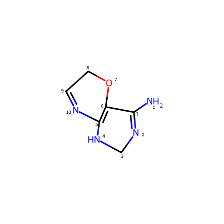 NC1=NCNC2=C1OCC=N2